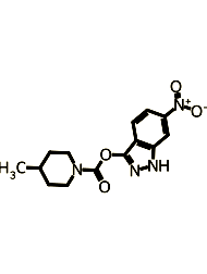 CC1CCN(C(=O)Oc2n[nH]c3cc([N+](=O)[O-])ccc23)CC1